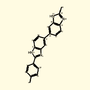 Cc1ccc(-c2nc3cc(-c4ccc5nc(C)[nH]c5c4)ccc3[nH]2)cc1